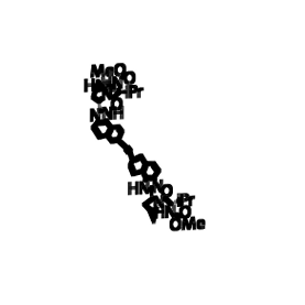 COC(=O)N[C@H](C(=O)N1C2CC2C[C@H]1c1nc2ccc3cc(C#Cc4ccc5c(ccc6nc([C@@H]7C[C@H]8C[C@H]8N7C(=O)[C@@H](NC(=O)OC)C(C)C)[nH]c65)c4)ccc3c2[nH]1)C(C)C